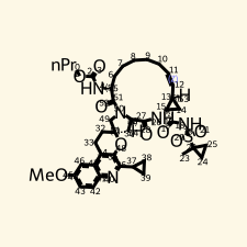 CCCOC(=O)N[C@H]1CCCCC/C=C\[C@@H]2C[C@@]2(C(=O)NS(=O)(=O)C2(C)CC2)NC(=O)[C@@H]2C[C@]3(CCc4c(c(C5CC5)nc5ccc(OC)cc45)O3)CN2C1=O